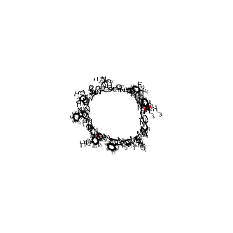 CCCC[C@H]1C(=O)N2CCC[C@@H]2C(=O)N[C@@H](COC=O)C(=O)N[C@@H](C(C)C)C(=O)N(C)[C@@H](Cc2ccccc2)C(=O)N[C@@H](Cc2ccc(O)cc2)C(=O)N2CCC[C@@H]2C(=O)N[C@@H](Cc2c[nH]c3ccccc23)C(=O)N[C@@H](Cc2ccc(O)cc2)C(=O)N[C@@H](COC=O)C(=O)N[C@H](C(=O)NCC(N)=O)CSCC(=O)N[C@@H](Cc2cc(F)c(F)c(F)c2)C(=O)N(C)[C@@H](Cc2ccccc2)C(=O)N1C